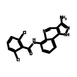 Nc1n[nH]c2c1cnc1c(NC(=O)c3c(Cl)cccc3Cl)cccc12